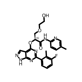 Cc1ccc(NC(=O)[C@H](COCCO)Oc2nc(-c3cccc(F)c3C)nc3[nH]ncc23)nc1